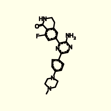 CN1CCN(c2ccc(-c3cnc(N)c(-c4cc(F)c5c(c4)CCNC5=O)n3)cc2)CC1